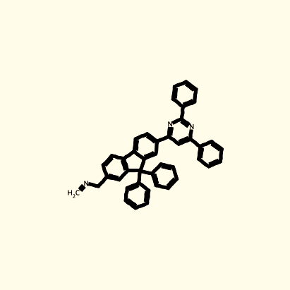 C=NCc1ccc2c(c1)C(c1ccccc1)(c1ccccc1)c1cc(-c3cc(-c4ccccc4)nc(-c4ccccc4)n3)ccc1-2